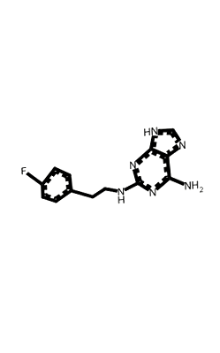 Nc1nc(NCCc2ccc(F)cc2)nc2[nH]cnc12